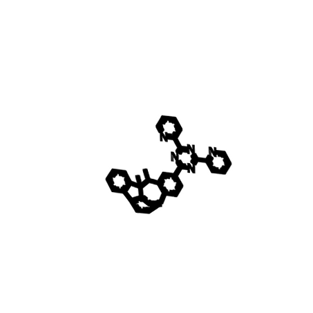 CC1c2cc(-c3nc(-c4ccccn4)nc(-c4ccccn4)n3)ccc2-c2ccc3c(c2)C1(C)c1ccccc1-3